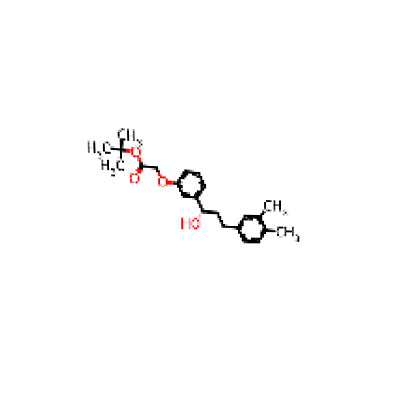 Cc1ccc(CC[C@H](O)c2cccc(OCC(=O)OC(C)(C)C)c2)cc1C